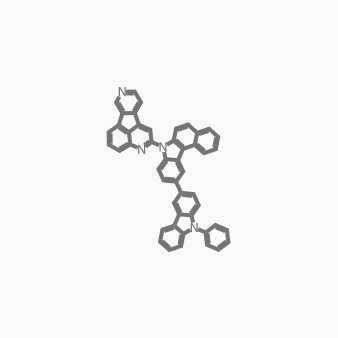 c1ccc(-n2c3ccccc3c3cc(-c4ccc5c(c4)c4c6ccccc6ccc4n5-c4cc5c6c(cccc6n4)-c4cnccc4-5)ccc32)cc1